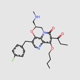 CCCCOc1c(C(=O)CC)c(=O)n2c3c(c(Cc4ccc(F)cc4)cnc13)O[C@@H](CNC)C2